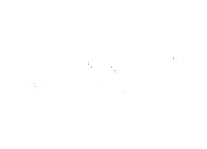 CC(=O)Nc1ccc(NC(=S)NC(=O)c2ccc(C(C)(C)C)cc2)cc1